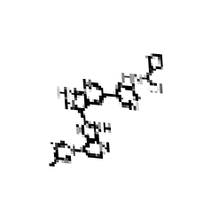 Cc1cn(-c2ccnc3[nH]c(-c4n[nH]c5ncc(-c6cncc(NC(O)C7CCC7)c6)cc45)nc23)cn1